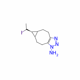 CC(I)[C@H]1C2CCc3nnn(N)c3CCC21